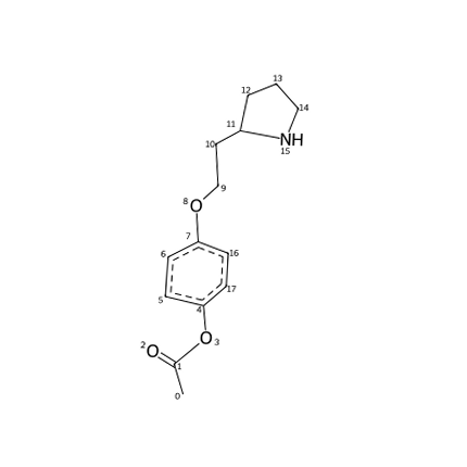 CC(=O)Oc1ccc(OCCC2CCCN2)cc1